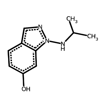 CC(C)Nn1ncc2ccc(O)cc21